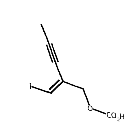 CC#CC(=CI)COC(=O)O